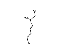 CC(=O)CCCCC(O)CC(C)=O